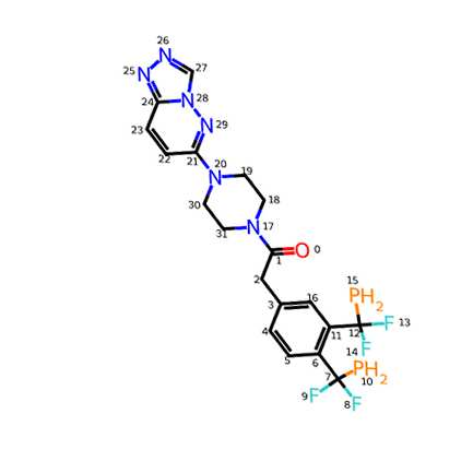 O=C(Cc1ccc(C(F)(F)P)c(C(F)(F)P)c1)N1CCN(c2ccc3nncn3n2)CC1